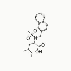 CCC(C)CC(C(=O)O)N(Cc1ccc2ccccc2c1)S(C)(=O)=O